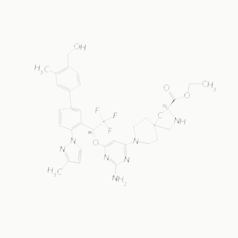 CCOC(=O)[C@@H]1CC2(CCN(c3cc(O[C@H](c4cc(-c5ccc(CO)c(C)c5)ccc4-n4ccc(C)n4)C(F)(F)F)nc(N)n3)CC2)CN1